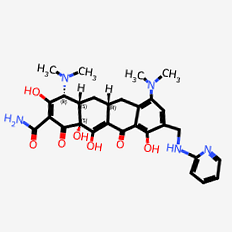 CN(C)c1cc(CNc2ccccn2)c(O)c2c1C[C@H]1C[C@H]3[C@@H](N(C)C)C(O)=C(C(N)=O)C(=O)[C@@]3(O)C(O)=C1C2=O